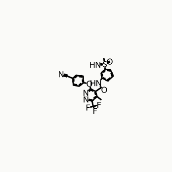 Cc1c(C(F)(F)F)nnc(Oc2ccc(C#N)cc2)c1C(=O)Nc1cccc(S(C)(=N)=O)c1